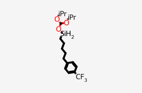 CC(C)OC(O[SiH2]CCCCCc1ccc(C(F)(F)F)cc1)OC(C)C